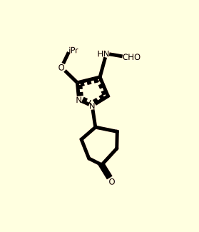 CC(C)Oc1nn(C2CCC(=O)CC2)cc1NC=O